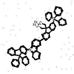 CCC1(CC)c2cc(-c3ccc4c(c3)c3c(n4-c4ccc5c(c4)C(c4ccccc4)(c4ccccc4)c4ccccc4-5)CCC=C3)ccc2-c2ccc([Si](c3ccccc3)(c3ccccc3)c3ccccc3)cc21